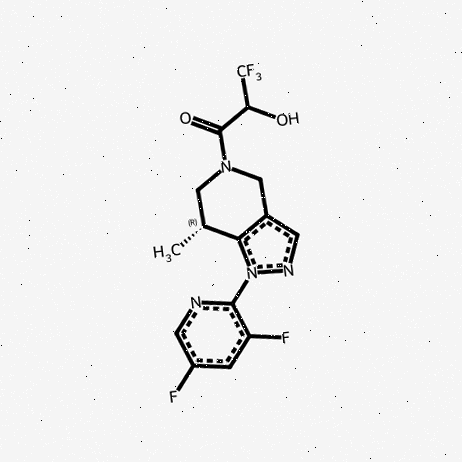 C[C@@H]1CN(C(=O)C(O)C(F)(F)F)Cc2cnn(-c3ncc(F)cc3F)c21